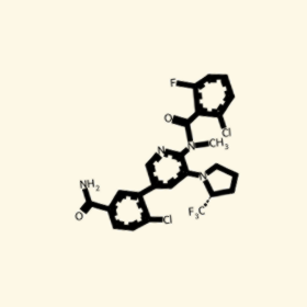 CN(C(=O)c1c(F)cccc1Cl)c1ncc(-c2cc(C(N)=O)ccc2Cl)cc1N1CCC[C@@H]1C(F)(F)F